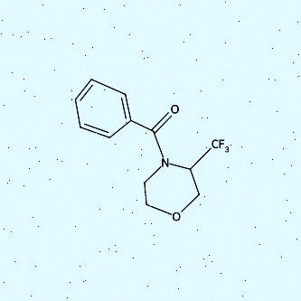 O=C(c1cc[c]cc1)N1CCOCC1C(F)(F)F